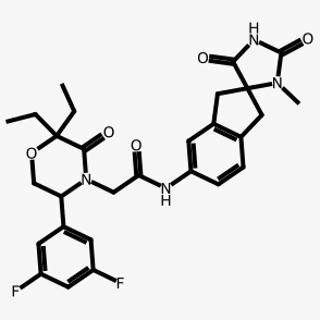 CCC1(CC)OCC(c2cc(F)cc(F)c2)N(CC(=O)Nc2ccc3c(c2)CC2(C3)C(=O)NC(=O)N2C)C1=O